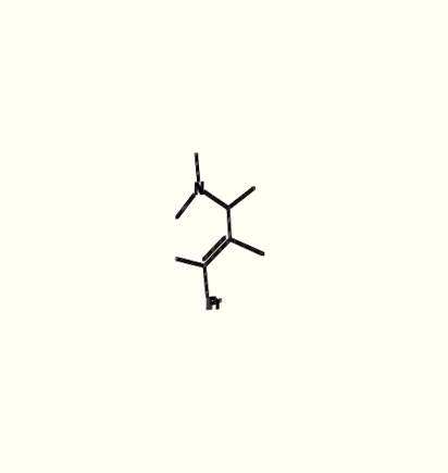 C/C(=C(/C)C(C)N(C)C)C(C)C